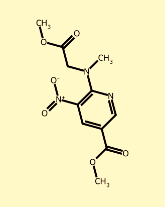 COC(=O)CN(C)c1ncc(C(=O)OC)cc1[N+](=O)[O-]